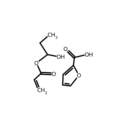 C=CC(=O)OC(O)CC.O=C(O)c1ccco1